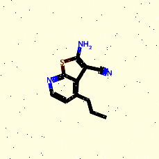 CCCc1ccnc2sc(N)c(C#N)c12